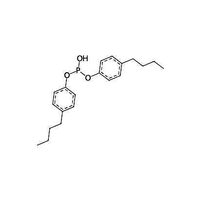 CCCCc1ccc(OP(O)Oc2ccc(CCCC)cc2)cc1